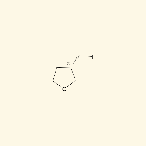 IC[C@H]1CCOC1